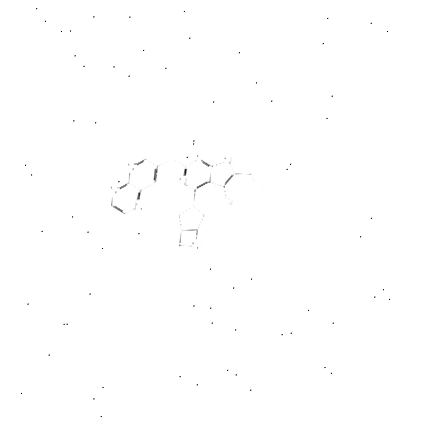 CCc1[nH]c2nc(Sc3cnc4nccnc4c3)nc(C3CC4CNC4C3)c2c1Br